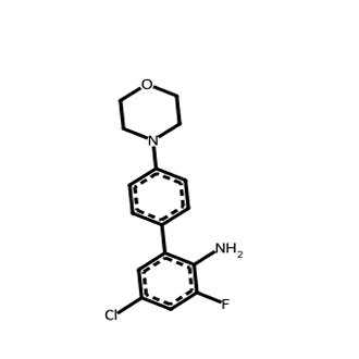 Nc1c(F)cc(Cl)cc1-c1ccc(N2CCOCC2)cc1